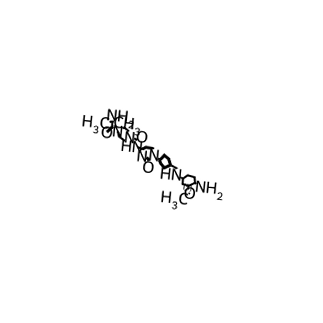 CO[C@H]1CC(NCc2ccc(-n3ccc(NC(=O)N4CCN(C(=O)C(C)(C)N)CC4)nc3=O)cc2)CCC1N